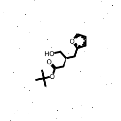 CC(C)(C)OC(=O)C[C@@H](CO)Cc1ccco1